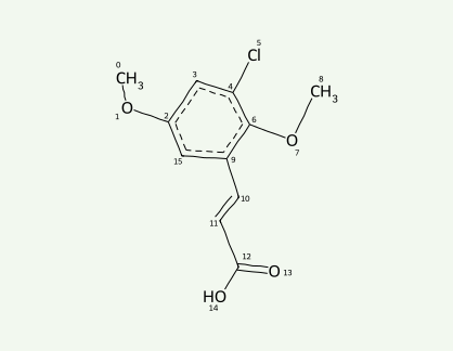 COc1cc(Cl)c(OC)c(C=CC(=O)O)c1